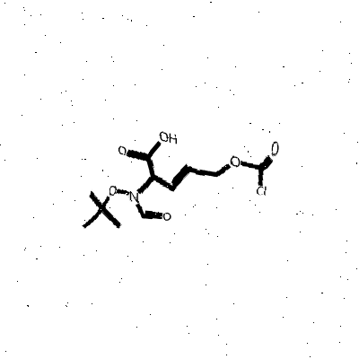 CC(C)(C)ON(C=O)C(C=CCOC(=O)Cl)C(=O)O